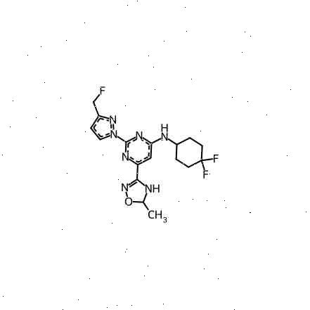 CC1NC(c2cc(NC3CCC(F)(F)CC3)nc(-n3ccc(CF)n3)n2)=NO1